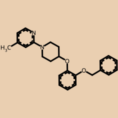 Cc1ccnc(N2CCC(Oc3ccccc3OCc3ccccc3)CC2)c1